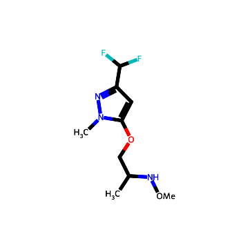 CONC(C)COc1cc(C(F)F)nn1C